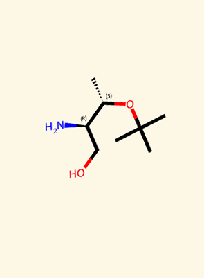 C[C@H](OC(C)(C)C)[C@H](N)CO